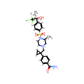 CC1CN(CC2(c3ccc(C(N)=O)cc3)CC2)CCN1S(=O)(=O)c1ccc([C@](C)(O)C(F)(F)F)cc1